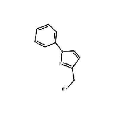 CC(C)Cc1c[c]n(-c2ccccc2)n1